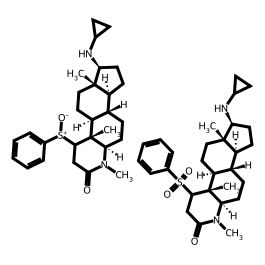 CN1C(=O)CC(S(=O)(=O)c2ccccc2)[C@]2(C)[C@H]3CC[C@]4(C)[C@@H](NC5CC5)CC[C@H]4[C@@H]3CC[C@@H]12.CN1C(=O)CC([S+]([O-])c2ccccc2)[C@]2(C)[C@H]3CC[C@]4(C)[C@@H](NC5CC5)CC[C@H]4[C@@H]3CC[C@@H]12